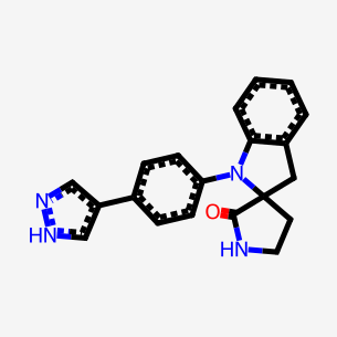 O=C1NCCC12Cc1ccccc1N2c1ccc(-c2cn[nH]c2)cc1